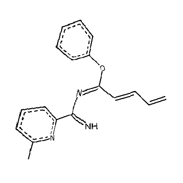 C=C/C=C/C(=N\C(=N)c1cccc(C)n1)Oc1ccccc1